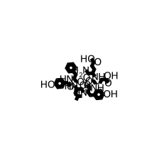 CC(C)CC(NC(=O)C(Cc1ccccc1)NC(=O)c1ccc(O)cc1)C(=O)NC(Cc1ccc(O)cc1)C(=O)N[C@@H](CCC(=O)O)C(=O)NC(CCC(=O)O)C(N)=O